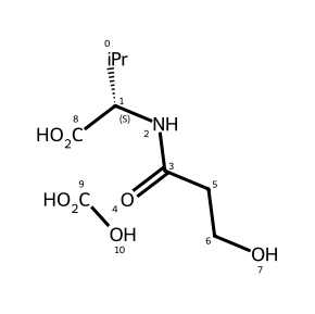 CC(C)[C@H](NC(=O)CCO)C(=O)O.O=C(O)O